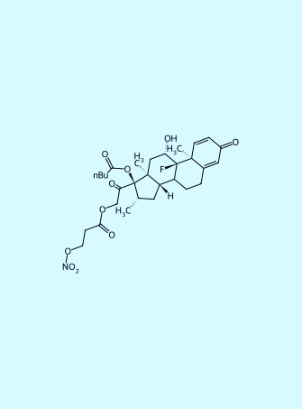 CCCCC(=O)O[C@]1(C(=O)COC(=O)CCO[N+](=O)[O-])[C@@H](C)C[C@H]2C3CCC4=CC(=O)C=C[C@]4(C)[C@@]3(F)[C@@H](O)C[C@@]21C